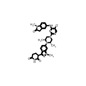 C[C@H]1CN(c2ncc(Cl)c(Nc3ccc4c(c3)CC(=O)N4C)n2)C[C@H](C)N1c1ccc2c(C3CCC(=O)NC3=O)nn(C)c2c1